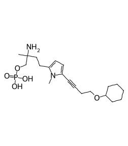 Cn1c(C#CCCOC2CCCCC2)ccc1CCC(C)(N)COP(=O)(O)O